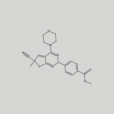 COC(=O)c1ccc(C2N=C3SC(C)(C#N)C=C3C(N3CCOCC3)=N2)cc1